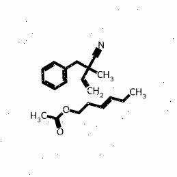 C=CC(C)(C#N)Cc1ccccc1.CCC=CCCOC(C)=O